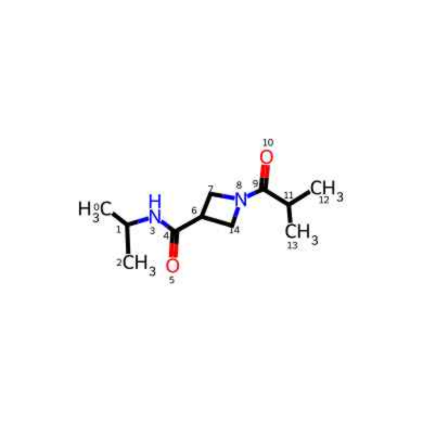 CC(C)NC(=O)C1CN(C(=O)C(C)C)C1